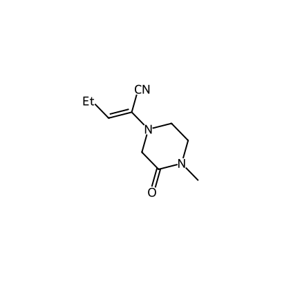 CCC=C(C#N)N1CCN(C)C(=O)C1